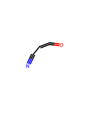 N#CC=C=O